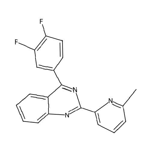 Cc1cccc(-c2nc(-c3ccc(F)c(F)c3)c3ccccc3n2)n1